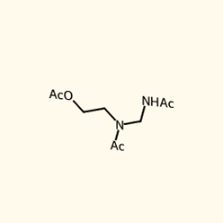 CC(=O)NCN(CCOC(C)=O)C(C)=O